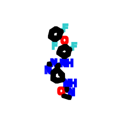 Fc1cc(Nc2ncnc3ccc(NC4=NCCO4)cc23)ccc1Oc1c(F)cccc1F